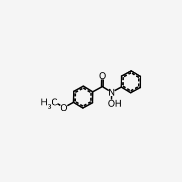 COc1ccc(C(=O)N(O)c2ccccc2)cc1